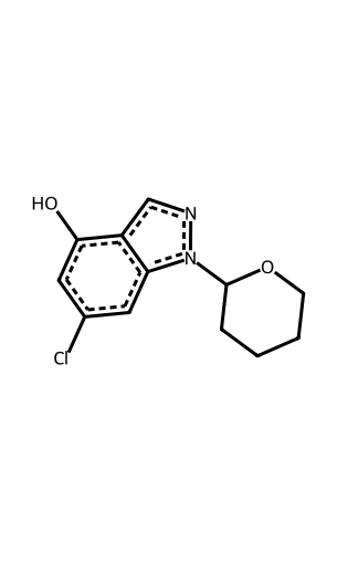 Oc1cc(Cl)cc2c1cnn2C1CCCCO1